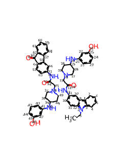 CCn1c2ccccc2c2cc(NC(=O)CN3CCC(Nc4cccc(O)c4)CC3)ccc21.O=C(CN1CCC(Nc2cccc(O)c2)CC1)Nc1ccc2c(c1)-c1ccccc1C2=O